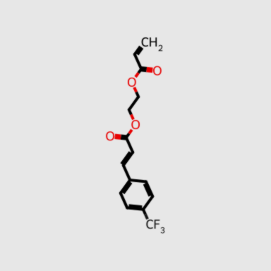 C=CC(=O)OCCOC(=O)/C=C/c1ccc(C(F)(F)F)cc1